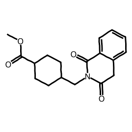 COC(=O)C1CCC(CN2C(=O)Cc3ccccc3C2=O)CC1